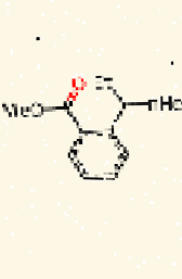 CCCCCCC(CC)c1ccccc1C(=O)OC